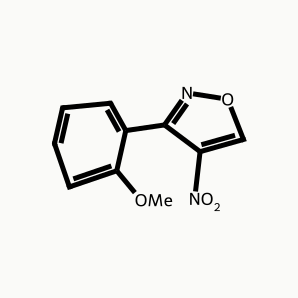 COc1ccccc1-c1nocc1[N+](=O)[O-]